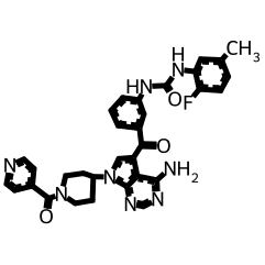 Cc1ccc(F)c(NC(=O)Nc2cccc(C(=O)c3cn(C4CCN(C(=O)c5ccncc5)CC4)c4ncnc(N)c34)c2)c1